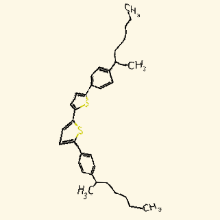 CCCCCC(C)c1ccc(-c2ccc(-c3ccc(-c4ccc(C(C)CCCCC)cc4)s3)s2)cc1